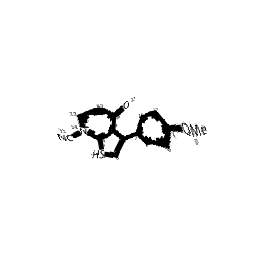 COc1ccc(C2=C[SH]c3c2c(=O)ccn3C#N)cc1